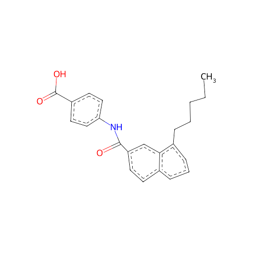 CCCCCc1cccc2ccc(C(=O)Nc3ccc(C(=O)O)cc3)cc12